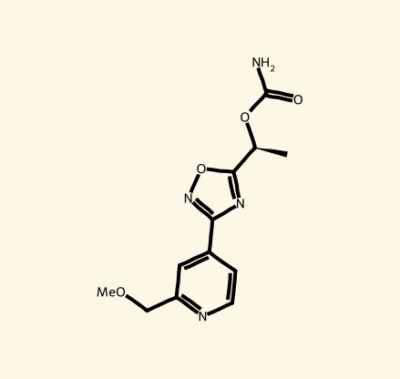 COCc1cc(-c2noc([C@H](C)OC(N)=O)n2)ccn1